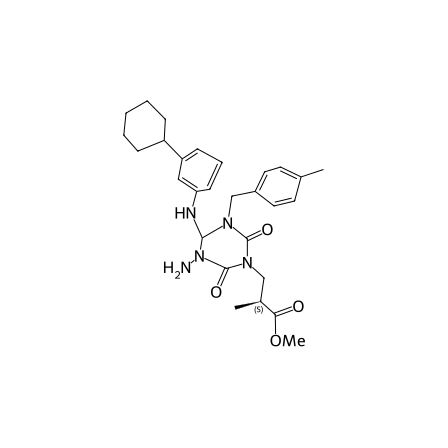 COC(=O)[C@@H](C)CN1C(=O)N(N)C(Nc2cccc(C3CCCCC3)c2)N(Cc2ccc(C)cc2)C1=O